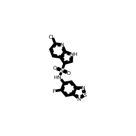 O=S(=O)(Nc1cc2nsnc2cc1F)c1c[nH]c2nc(Cl)ccc12